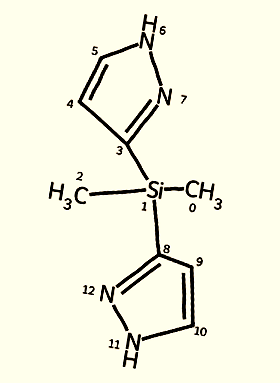 C[Si](C)(c1cc[nH]n1)c1cc[nH]n1